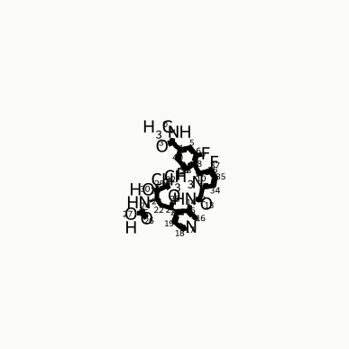 CNC(=O)c1cc(F)c(-c2nc(C(=O)Nc3cnccc3[C@H]3C[C@@H](NC(=O)O)[C@](C)(O)C(C)O3)ccc2F)c(F)c1